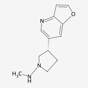 CNN1CC[C@@H](c2cnc3ccoc3c2)C1